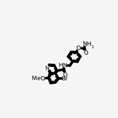 COc1ccc(Br)c2c(C(=O)NCc3ccc(OC(N)=O)cc3)ccnc12